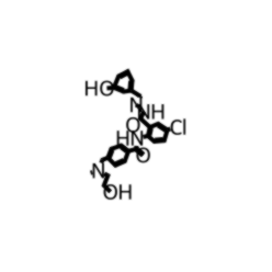 CN(CCO)Cc1ccc(C(=O)Nc2ccc(Cl)cc2C(=O)NN=Cc2cccc(O)c2)cc1